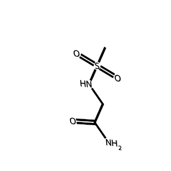 CS(=O)(=O)NCC(N)=O